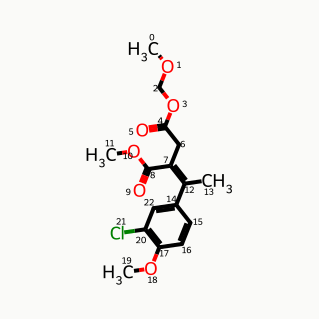 COCOC(=O)C/C(C(=O)OC)=C(\C)c1ccc(OC)c(Cl)c1